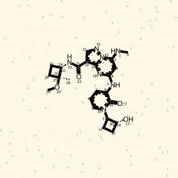 CNc1cc(Nc2cccn(C3CC[C@H]3O)c2=O)nc2c(C(=O)N[C@H]3CC[C@]3(C)OC)cnn12